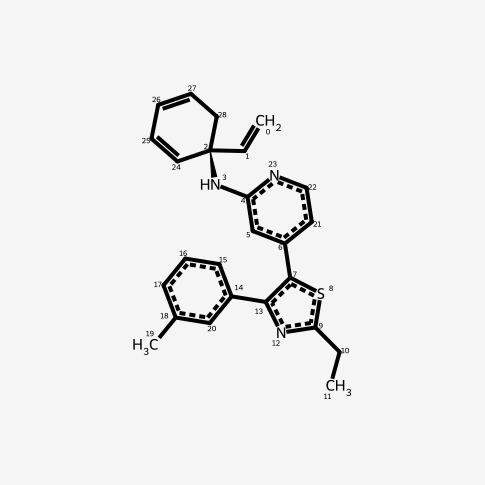 C=C[C@]1(Nc2cc(-c3sc(CC)nc3-c3cccc(C)c3)ccn2)C=CC=CC1